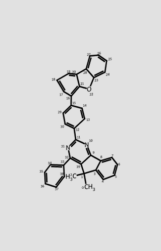 CC1(C)c2ccccc2-c2nc(-c3ccc(-c4cccc5c4oc4ccccc45)cc3)nc(-c3ccccc3)c21